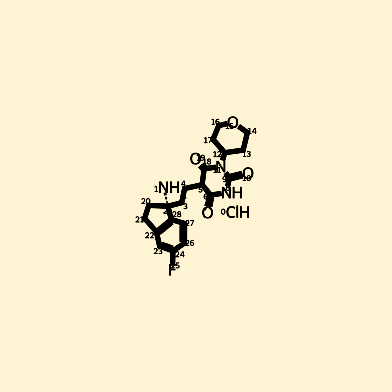 Cl.N[C@@]1(CCC2C(=O)NC(=O)N(C3CCOCC3)C2=O)CCc2cc(F)ccc21